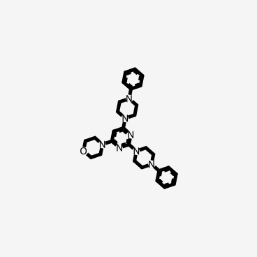 c1ccc(N2CCN(c3cc(N4CCOCC4)nc(N4CCN(c5ccccc5)CC4)n3)CC2)cc1